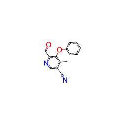 Cc1c(C#N)cnc(C=O)c1Oc1ccccc1